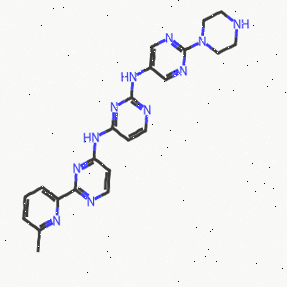 Cc1cccc(-c2nccc(Nc3ccnc(Nc4cnc(N5CCNCC5)nc4)n3)n2)n1